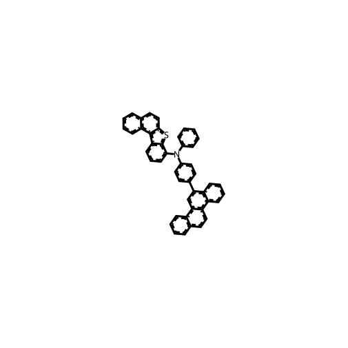 c1ccc(N(c2ccc(-c3cc4c5ccccc5ccc4c4ccccc34)cc2)c2cccc3c2sc2ccc4ccccc4c23)cc1